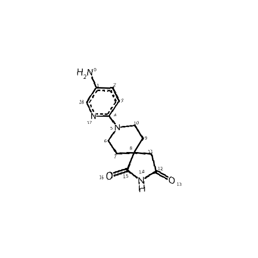 Nc1ccc(N2CCC3(CC2)CC(=O)NC3=O)nc1